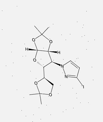 CC1(C)O[C@H]2O[C@@H]([C@H]3COC(C)(C)O3)[C@H](n3ccc(I)n3)[C@H]2O1